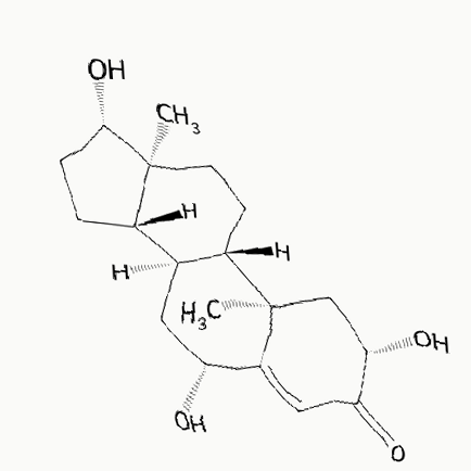 C[C@]12CC[C@H]3[C@@H](C[C@@H](O)C4=CC(=O)[C@@H](O)C[C@@]43C)[C@@H]1CC[C@@H]2O